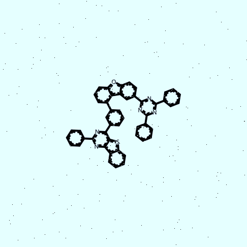 c1ccc(-c2nc(-c3ccccc3)nc(-c3ccc4oc5cccc(-c6cccc(-c7nc(-c8ccccc8)nc8c7sc7ccccc78)c6)c5c4c3)n2)cc1